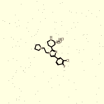 Cl.Cl.Cl.Fc1ccc(-c2cn(CCN3CCCC3)c(C3CCNCC3)n2)cc1Cl